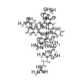 CC(C)(NC(=O)[C@H](CS)NC(=O)[C@@H](N)CCCNC(=N)N)C(=O)N[C@@H](Cc1c[nH]cn1)C(=O)N[C@H](Cc1ccccc1)C(=O)N[C@@H](CCCNC(=N)N)C(=O)N[C@H](Cc1c[nH]c2ccccc12)C(=O)N[C@@H](CS)C(=O)O